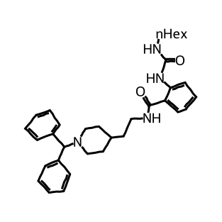 CCCCCCNC(=O)Nc1ccccc1C(=O)NCCC1CCN(C(c2ccccc2)c2ccccc2)CC1